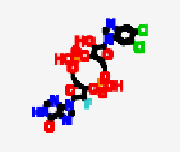 O=c1[nH]cnc2c1ncn2C1OC2COP(=O)(O)OC3C(COP(=O)(O)OC2C1F)OC(n1cnc2cc(Cl)c(Cl)cc21)C3O